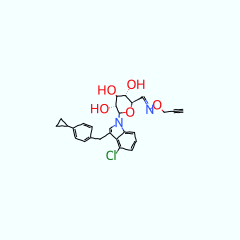 C#CCON=C[C@H]1O[C@@H](n2cc(Cc3ccc(C4CC4)cc3)c3c(Cl)cccc32)[C@H](O)[C@@H](O)[C@@H]1O